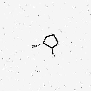 CC[C@@H]1OCC[C@H]1C=O